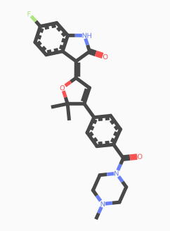 CN1CCN(C(=O)c2ccc(C3=C/C(=C4\C(=O)Nc5cc(F)ccc54)OC3(C)C)cc2)CC1